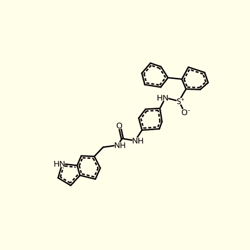 O=C(NCc1ccc2cc[nH]c2c1)Nc1ccc(N[S+]([O-])c2ccccc2-c2ccccc2)cc1